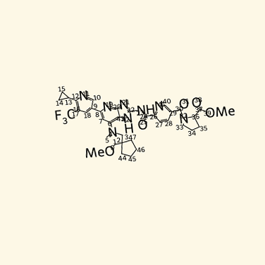 COCC1(CN(C)c2cc(-c3cnc(C4CC4)c(C(F)(F)F)c3)nc3nc(NC(=O)c4ccc(C(=O)N5CCCC5C(=O)OC)cn4)[nH]c23)CCCC1